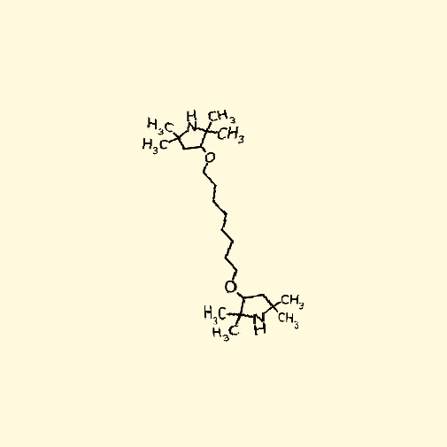 CC1(C)CC(OCCCCCCCCOC2CC(C)(C)NC2(C)C)C(C)(C)N1